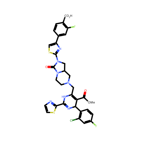 COC(=O)C1=C(CN2CCN3C(=O)N(c4nc(-c5ccc(C(=O)O)c(F)c5)cs4)CC3C2)NC(c2nccs2)=NC1c1ccc(F)cc1Cl